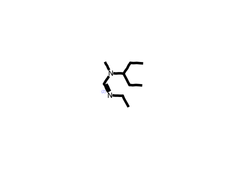 CC/N=C\N(C)C(CC)CC